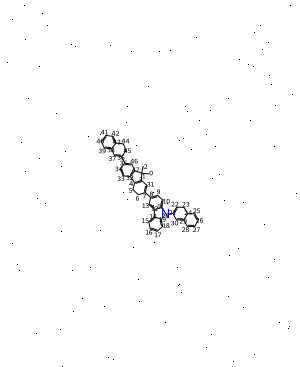 CC1(C)C2=C(CCC(c3ccc4c(c3)c3ccccc3n4C3=CCC4C=CC=CC4=C3)=C2)c2ccc(C3=Cc4ccccc4CC3)cc21